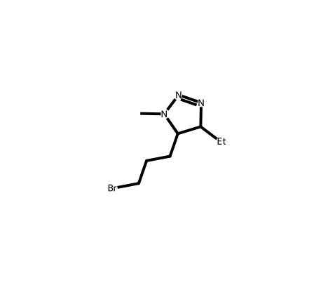 CCC1N=NN(C)C1CCCBr